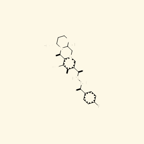 C[C@@H]1CCO[C@H]2Cn3cc(C(=O)NNC(=O)c4ccc(F)cc4)c(=O)c(O)c3C(=O)N12